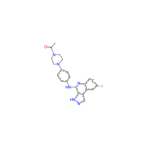 CC(=O)N1CCN(c2ccc(Nc3nc4ccc(F)cc4c4cn[nH]c34)cc2)CC1